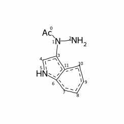 CC(=O)N(N)c1c[nH]c2ccccc12